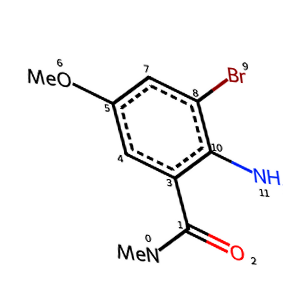 CNC(=O)c1cc(OC)cc(Br)c1N